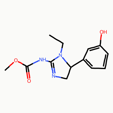 CCN1C(NC(=O)OC)=NCC1c1cccc(O)c1